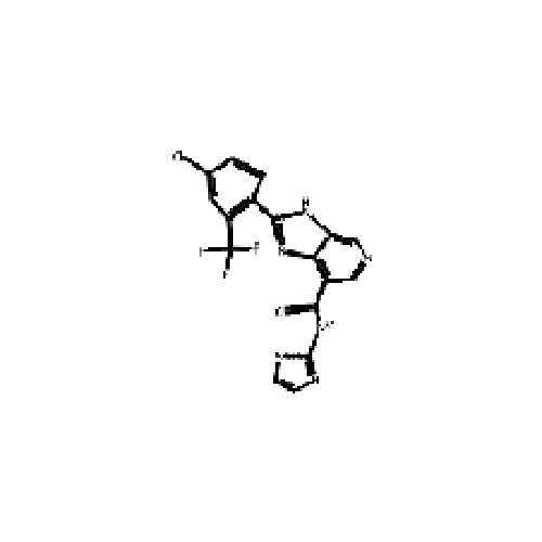 O=C(Nc1nccs1)c1cncc2[nH]c(-c3ccc(Cl)cc3C(F)(F)F)nc12